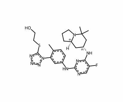 Cc1ccc(Nc2ncc(F)c(N[C@@H]3C[C@H]4CCCN4C(C)(C)C3)n2)cc1-n1nnnc1SCCO